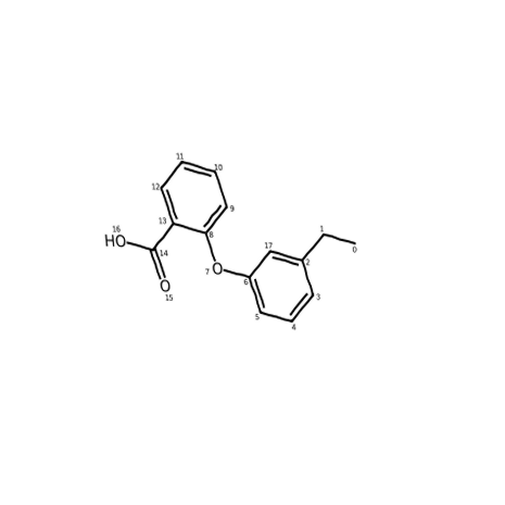 CCc1cccc(Oc2ccccc2C(=O)O)c1